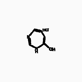 Cl.OC1=CC=CN=CN1